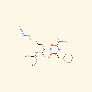 CC(C)C[C@H](NC(=O)[C@H](CCCCNN=[N+]=[N-])NC(=O)[C@H](CC1CCCCC1)NC(=O)[C@H](C)N)C(=O)O